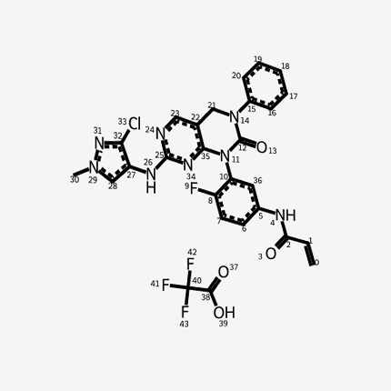 C=CC(=O)Nc1ccc(F)c(N2C(=O)N(c3ccccc3)Cc3cnc(Nc4cn(C)nc4Cl)nc32)c1.O=C(O)C(F)(F)F